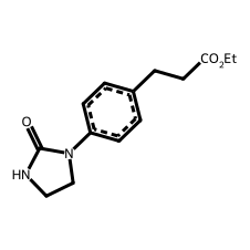 CCOC(=O)CCc1ccc(N2CCNC2=O)cc1